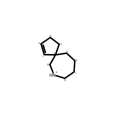 C1=CC2(CC1)CCCCNC2